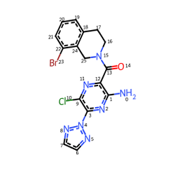 Nc1nc(-n2nccn2)c(Cl)nc1C(=O)N1CCc2cccc(Br)c2C1